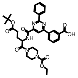 CCOC(=O)N1CCN(C(=O)C(CCC(=O)OC(C)(C)C)NC(=O)c2cc(-c3cccc(C(=O)O)c3)nc(-c3ccccc3)n2)CC1